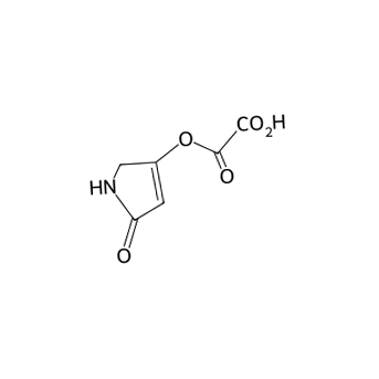 O=C1C=C(OC(=O)C(=O)O)CN1